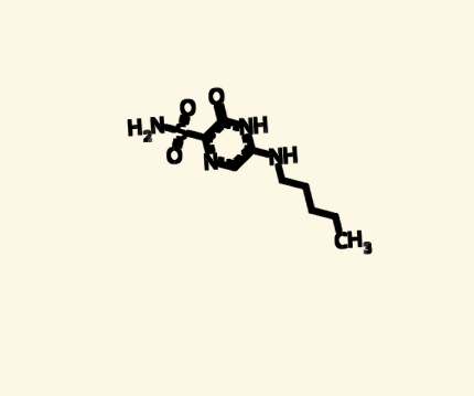 CCCCCNc1cnc(S(N)(=O)=O)c(=O)[nH]1